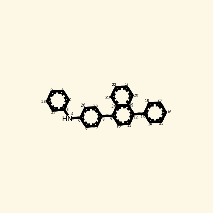 c1ccc(Nc2ccc(-c3ccc(-c4ccccc4)c4ccccc34)cc2)cc1